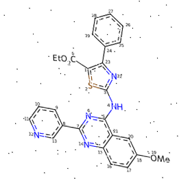 CCOC(=O)c1sc(Nc2nc(-c3cccnc3)nc3ccc(OC)cc23)nc1-c1ccccc1